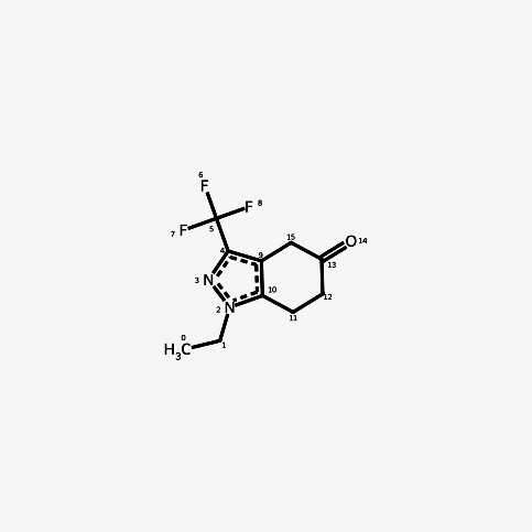 CCn1nc(C(F)(F)F)c2c1CCC(=O)C2